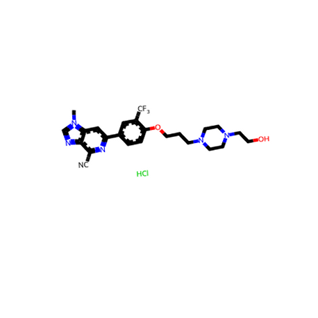 Cl.Cn1cnc2c(C#N)nc(-c3ccc(OCCCN4CCN(CCO)CC4)c(C(F)(F)F)c3)cc21